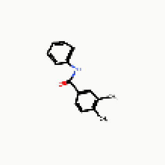 Cc1ccc(C(=O)Nc2ccccc2)cc1C